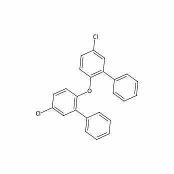 Clc1ccc(Oc2ccc(Cl)cc2-c2ccccc2)c(-c2ccccc2)c1